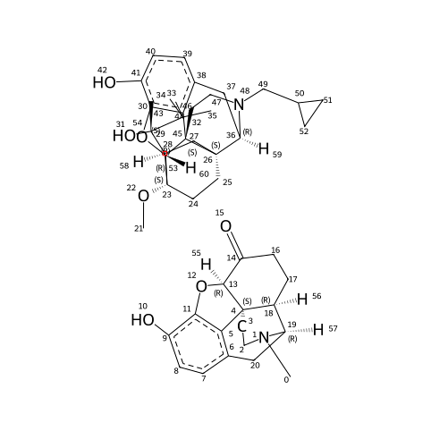 CN1CC[C@]23c4c5ccc(O)c4O[C@H]2C(=O)CC[C@H]3[C@H]1C5.CO[C@@]12CC[C@@]3(C[C@@H]1[C@](C)(O)C(C)(C)C)[C@H]1Cc4ccc(O)c5c4[C@@]3(CCN1CC1CC1)[C@H]2O5